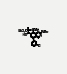 CCOC(=O)C(C)(C)C(O)c1cc(-c2cccc(Cl)c2)c2cnc(NC)nc2c1OC